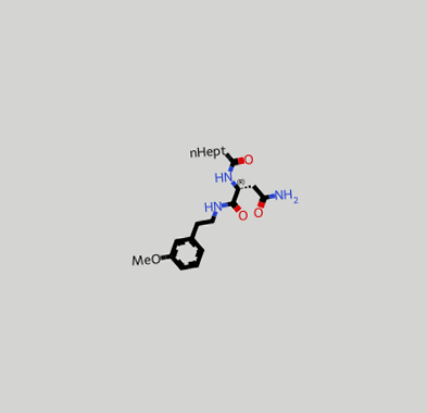 CCCCCCCC(=O)N[C@H](CC(N)=O)C(=O)NCCc1cccc(OC)c1